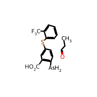 CCC=O.O=C(O)c1cc(Sc2ccccc2C(F)(F)F)ccc1[AsH2]